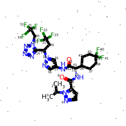 CC(C)n1nccc1C(=O)N[C@H](C(=O)Nc1cnn(C(CC(F)(F)F)c2nnnn2CC(F)(F)F)c1)C1CCC(F)(F)CC1